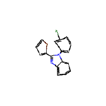 Brc1cccc(-n2c(-c3cccs3)nc3ccccc32)c1